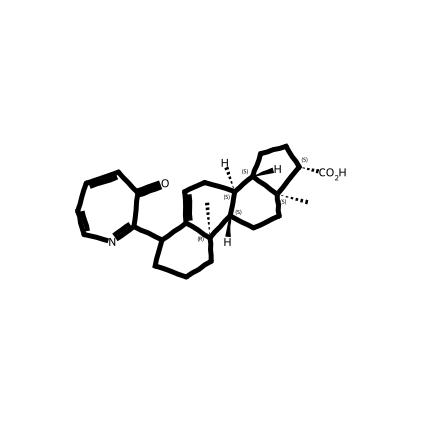 C[C@]12CC[C@H]3[C@@H](CC=C4C(c5nccccc5=O)CCC[C@@]43C)[C@@H]1CC[C@@H]2C(=O)O